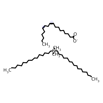 CCCCC/C=C\C/C=C\CCCCCCCC(=O)[O-].CCCCCCCCCCCCCCCC[N+](C)(C)CCCCCCCCCCCCCCCC